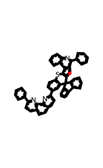 c1ccc(-c2ccc3ccc4ccc(-c5ccc6c(c5)C5(c7ccccc7-c7ccccc75)c5ccc7c(-c8ccccc8)nc8ccccc8c7c5S6)nc4c3n2)cc1